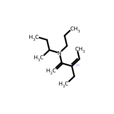 C=C(/C(=C\C)CC)N(CCC)C(C)CC